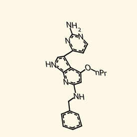 CCCOc1cc(NCc2ccccc2)nc2[nH]cc(-c3ccnc(N)n3)c12